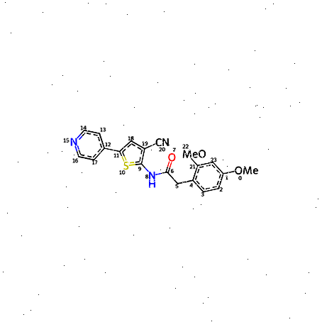 COc1ccc(CC(=O)Nc2sc(-c3ccncc3)cc2C#N)c(OC)c1